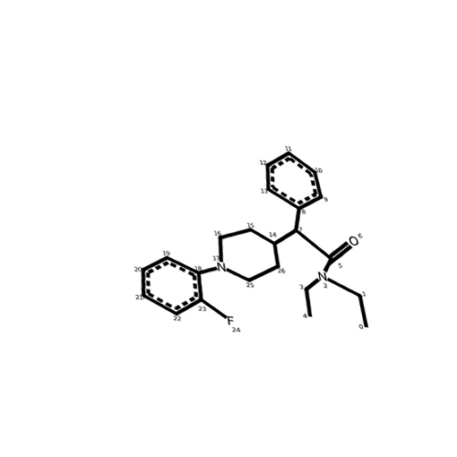 CCN(CC)C(=O)C(c1ccccc1)C1CCN(c2cc[c]cc2F)CC1